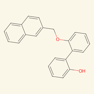 Oc1ccccc1-c1ccccc1OCc1ccc2ccccc2c1